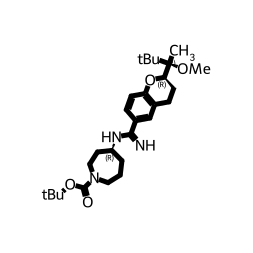 CO[C@@](C)([C@H]1CCc2cc(C(=N)N[C@@H]3CCCN(C(=O)OC(C)(C)C)CC3)ccc2O1)C(C)(C)C